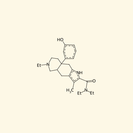 CCN1CCC2(c3cccc(O)c3)Cc3[nH]c(C(=O)N(CC)CC)c(C)c3CC2C1